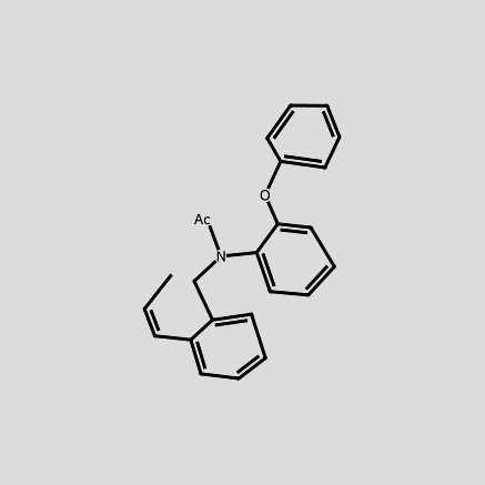 C/C=C\c1ccccc1CN(C(C)=O)c1ccccc1Oc1ccccc1